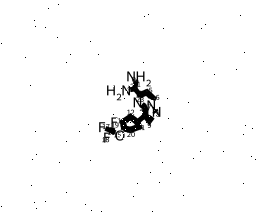 NCC(N)c1ccn2ncc(-c3ccc(OC(F)(F)F)cc3)c2n1